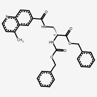 Cc1ccnc2ccc(C(=O)NC[C@@H](NC(=O)OCc3ccccc3)C(=O)OCc3ccccc3)cc12